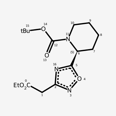 CCOC(=O)Cc1noc([C@@H]2CCCCN2C(=O)OC(C)(C)C)n1